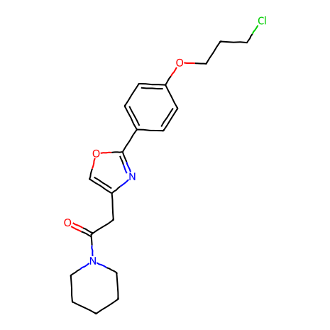 O=C(Cc1coc(-c2ccc(OCCCCl)cc2)n1)N1CCCCC1